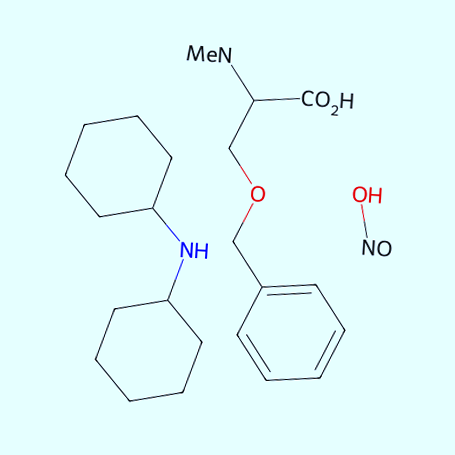 C1CCC(NC2CCCCC2)CC1.CNC(COCc1ccccc1)C(=O)O.O=NO